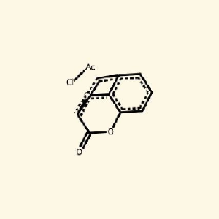 CC(=O)Cl.O=C1Oc2cccc3cc1oc23